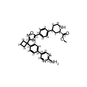 COC(=O)[C@H]1CC(c2ccc(-c3nc(C4(c5ccc(-c6cnc(N)nc6)cc5)CCC4)no3)cc2)CCN1